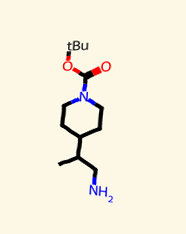 CC(CN)C1CCN(C(=O)OC(C)(C)C)CC1